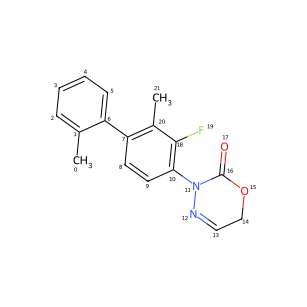 Cc1ccccc1-c1ccc(N2N=CCOC2=O)c(F)c1C